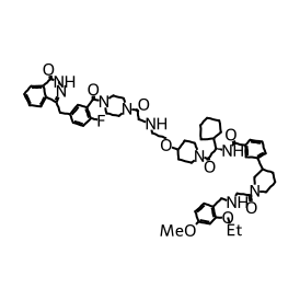 CCOc1cc(OC)ccc1CNCC(=O)N1CCCC(c2cccc(C(=O)N[C@@H](C(=O)N3CCC(OCCNCC(=O)N4CCN(C(=O)c5cc(Cc6n[nH]c(=O)c7ccccc67)ccc5F)CC4)CC3)C3CCCCC3)c2)C1